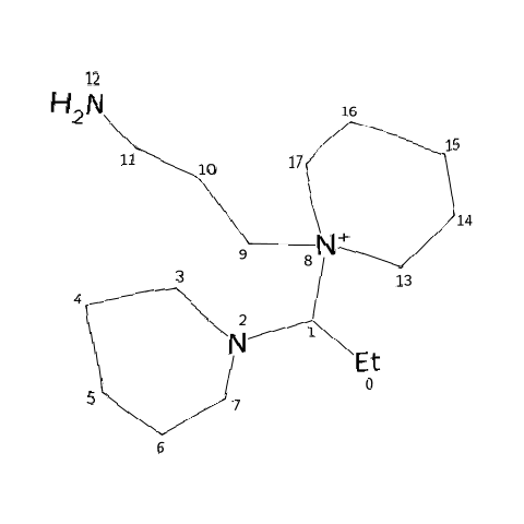 CCC(N1CCCCC1)[N+]1(CCCN)CCCCC1